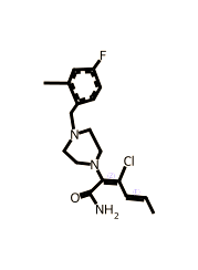 C/C=C/C(Cl)=C(\C(N)=O)N1CCN(Cc2ccc(F)cc2C)CC1